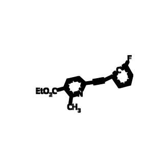 CCOC(=O)c1ccc(C#Cc2cccc(F)c2)nc1C